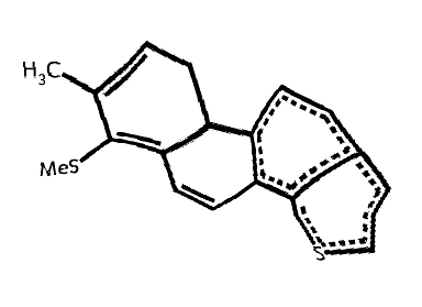 CSC1=C2C=Cc3c(ccc4ccsc34)C2CC=C1C